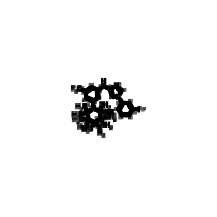 BC1(B)N(c2cc(Nc3ncn(-c4cccc(F)c4)n3)cc(C(F)(F)F)c2)C(B)(B)C(B)(B)C(B)(B)C1(B)B